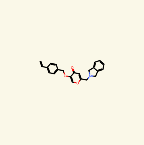 C=Cc1ccc(COc2coc(CN3Cc4ccccc4C3)cc2=O)cc1